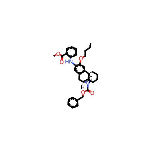 CCCCOc1cc2c(cc1Nc1ccccc1C(=O)OC)C[C@H]1[C@H]3CCCC[C@@]23CCN1C(=O)OCc1ccccc1